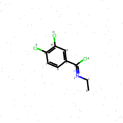 CC/N=C(\Cl)c1ccc(Cl)c(Cl)c1